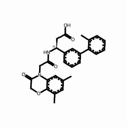 Cc1cc(C)c2c(c1)N(CC(=O)N[C@@H](CC(=O)O)c1cccc(-c3ccccc3C)c1)C(=O)CO2